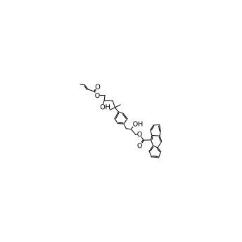 CC=CC(=O)OCC(O)CC(C)(C)c1ccc(CC(O)COC(=O)c2c3ccccc3cc3ccccc23)cc1